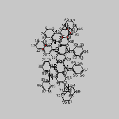 c1ccc(-c2cccc(-c3ccccc3)c2N2c3ccccc3B3c4cc5c(cc4N(c4ccccc4)c4cc(N6C7CC8CC(C7)CC6C8)cc2c43)N(c2ccccc2)c2cc(N3C4CC6CC(C4)CC3C6)cc3c2B5c2ccccc2N3c2ccccc2)cc1